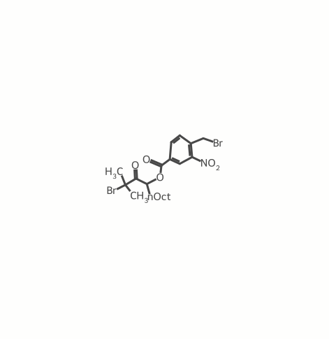 CCCCCCCCC(OC(=O)c1ccc(CBr)c([N+](=O)[O-])c1)C(=O)C(C)(C)Br